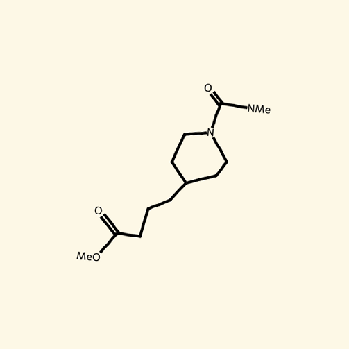 CNC(=O)N1CCC(CCCC(=O)OC)CC1